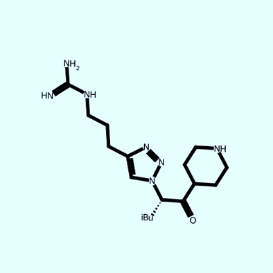 CCC(C)[C@@H](C(=O)C1CCNCC1)n1cc(CCCNC(=N)N)nn1